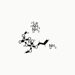 C=CCOP(=O)(OC)OP(=O)(O)OC.N.N.N.[La]